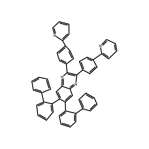 c1ccc(-c2ccccc2-c2cc3nc(-c4ccc(-c5ccccn5)cc4)c(-c4ccc(-c5ccccn5)cc4)nc3cc2-c2ccccc2-c2ccccc2)cc1